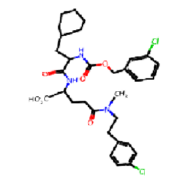 CN(CCc1ccc(Cl)cc1)C(=O)CCC(NC(=O)C(CC1CCCCC1)NC(=O)OCc1cccc(Cl)c1)C(=O)O